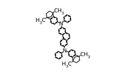 CC12CCC(C)(CC1)c1cc(N(c3ccccc3)c3ccc4c(ccc5cc(N(c6ccccc6)c6ccc7c(c6)C6(C)CCC7(C)CC6)ccc54)c3)ccc12